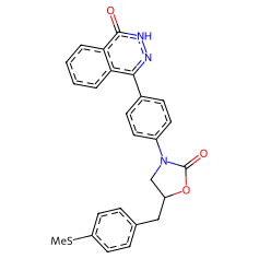 CSc1ccc(CC2CN(c3ccc(-c4n[nH]c(=O)c5ccccc45)cc3)C(=O)O2)cc1